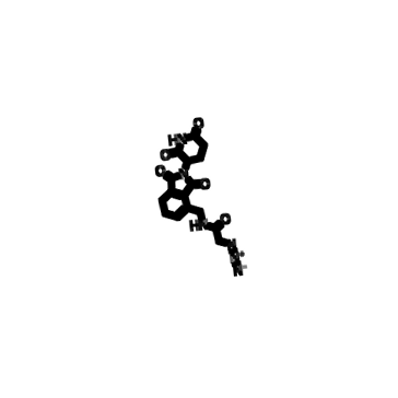 [N-]=[N+]=NCC(=O)NCC1=CCCC2=C1C(=O)N(C1CCC(=O)NC1=O)C2=O